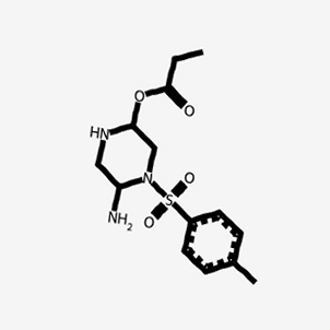 CCC(=O)OC1CN(S(=O)(=O)c2ccc(C)cc2)C(N)CN1